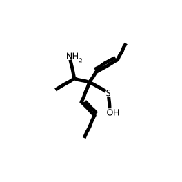 CC=CC(C=CC)(SO)C(C)N